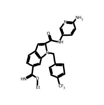 CCOC(=N)c1ccc2cc(C(=O)Nc3ccc(N)nc3)n(Cc3ccc(C(F)(F)F)cc3)c2c1